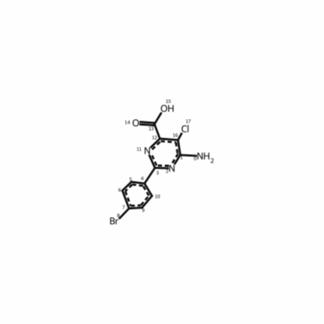 Nc1nc(-c2ccc(Br)cc2)nc(C(=O)O)c1Cl